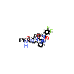 CCCCN(C(=O)c1ccc(F)c(F)c1)c1nc2n(c1C(=O)N1CCN(CC(=O)NC(C)C)CC1)CCCC2